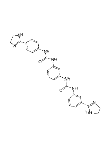 O=C(Nc1ccc(C2=NCCN2)cc1)Nc1cccc(NC(=O)Nc2cccc(C3=NCCN3)c2)c1